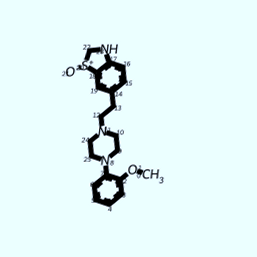 COc1ccccc1N1CCN(CCc2ccc3c(c2)[S+]([O-])CN3)CC1